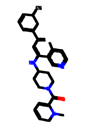 C=C(/C=C(/NC1CCN(C(=O)C2=CC=CCN2C)CC1)c1cnccc1C)C1=CC=CC(C#N)C1